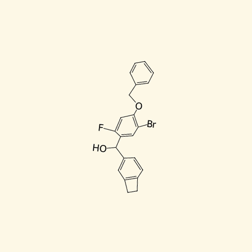 OC(c1ccc2c(c1)CC2)c1cc(Br)c(OCc2ccccc2)cc1F